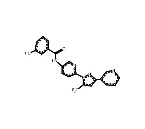 O=C(Nc1ccc(-n2nc(-c3cccnc3)cc2C(F)(F)F)nc1)c1cccc(O)c1